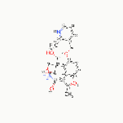 Cc1oc2ccc(OCc3cccnc3C(F)(F)F)c(C3(CO)COC3)c2c1C(N)=O